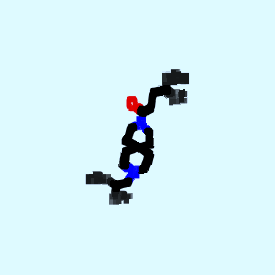 CCCCC(CC)CCC(=O)N1CCC2(CCN(CC(CCC)CCCC)CC2)CC1